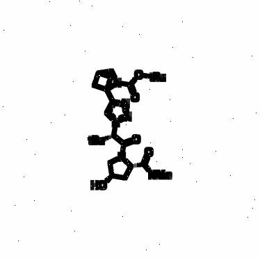 CNC(=O)[C@@H]1C[C@@H](O)CN1C(=O)[C@@H](n1cc(C23CC(CN2C(=O)OC(C)(C)C)C3)nn1)C(C)(C)C